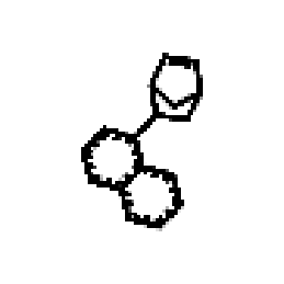 C1=CC2CC1CC2c1cccc2ccccc12